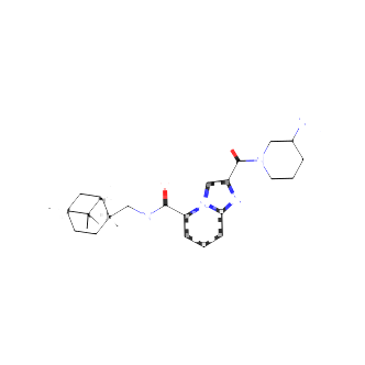 CC1(C)[C@H]2CC[C@@H](CNC(=O)c3cccc4nc(C(=O)N5CCCC(N)C5)cn34)[C@@H]1C2